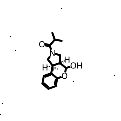 CC(C)C(=O)N1C[C@@H]2c3ccccc3OC(O)[C@@H]2C1